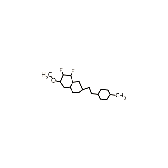 COC1CC2CCC(CCC3CCC(C)CC3)CC2C(F)C1F